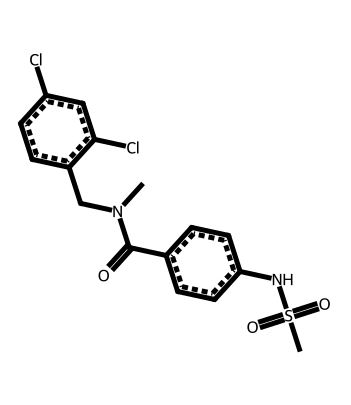 CN(Cc1ccc(Cl)cc1Cl)C(=O)c1ccc(NS(C)(=O)=O)cc1